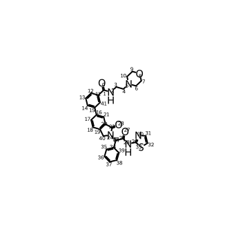 O=C(NCCN1CCOCC1)c1cccc(-c2ccc3c(c2)C(=O)N([C@@H](C(=O)Nc2nccs2)c2ccccc2)C3)c1